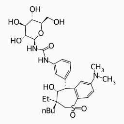 CCCC[C@]1(CC)CS(=O)(=O)c2ccc(N(C)C)cc2[C@@H](c2cccc(NC(=O)N[C@@H]3O[C@H](CO)[C@@H](O)[C@H](O)[C@H]3O)c2)[C@H]1O